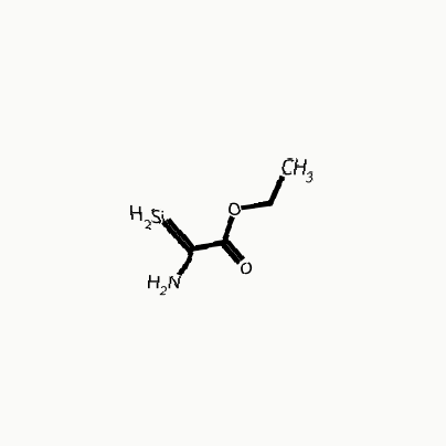 CCOC(=O)C(N)=[SiH2]